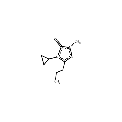 CCOc1nn(C)c(=O)n1C1CC1